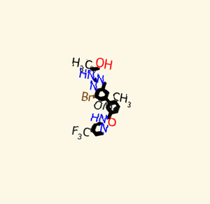 COc1c(-c2cc(C(=O)Nc3cc(C(F)(F)F)ccn3)ccc2C)cc2cnc(N[C@@H](C)CO)nc2c1Br